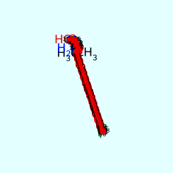 CCCN(CCCN(C)CCOCCOCCOCCOCCOCCOCCOCCOCCOCCOCCOCCOCCOCCOCCOCCOCCOCCOCCOCCOCCOCCOCCOCCOCCC(=O)Oc1c(F)c(F)cc(F)c1F)C(=O)C1=Cc2ccc(-c3cccc(S(=O)(=O)N4CC(CO)C4)c3)cc2N=C(N)C1